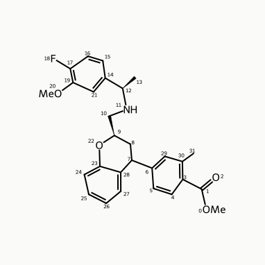 COC(=O)c1ccc(C2C[C@H](CN[C@H](C)c3ccc(F)c(OC)c3)Oc3ccccc32)cc1C